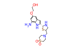 Nc1cc(OCCO)cc2cc([C@@H]3NCC(CN4CCS(=O)(=O)CC4)S3)[nH]c12